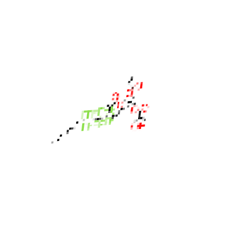 C=C(C)C(=O)OCC(CCCC(F)(F)C(F)(F)C(F)(F)C(F)(F)C(F)(F)C(F)(F)CCCCCCC)(COC(=O)C(=C)C)COC(=O)C(=C)CO